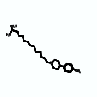 C/C(=C\CCCCCCCCCCCN1CCN(c2ccc([N+](=O)[O-])cc2)CC1)C(=O)O